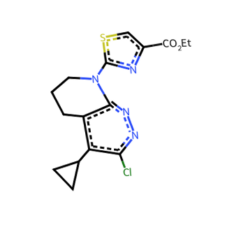 CCOC(=O)c1csc(N2CCCc3c2nnc(Cl)c3C2CC2)n1